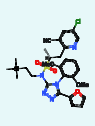 COc1cccc(OC)c1-n1c(-c2ccco2)nnc1N(CC[Si](C)(C)C)S(=O)(=O)[C@H](C)Cc1ncc(Cl)cc1C#N